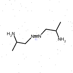 CC(N)C/N=N/CC(C)N